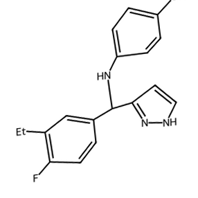 CCc1cc(C(Nc2ccc(C#N)cc2)c2cc[nH]n2)ccc1F